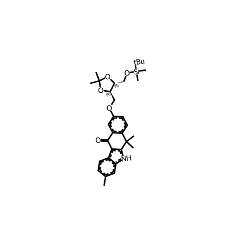 Cc1ccc2c3c([nH]c2c1)C(C)(C)c1ccc(OC[C@H]2OC(C)(C)O[C@@H]2CO[Si](C)(C)C(C)(C)C)cc1C3=O